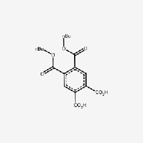 CCCCOC(=O)c1cc(C(=O)O)c(C(=O)O)cc1C(=O)OCCCC